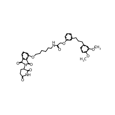 COc1ccc(CCCc2cccc(OCC(=O)NCCCCCCOc3cccc4c3C(=O)N(C3CCC(=O)NC3=O)C4=O)c2)cc1OC